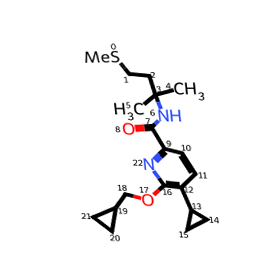 CSCCC(C)(C)NC(=O)c1ccc(C2CC2)c(OCC2CC2)n1